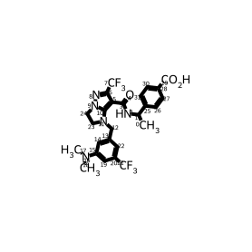 CC(NC(=O)c1c(C(F)(F)F)nn2c1N(Cc1cc(N(C)C)cc(C(F)(F)F)c1)CC2)c1ccc(C(=O)O)cc1